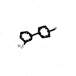 Cc1cccc(-c2c[c]c(F)cc2)c1